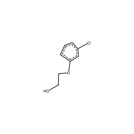 O[CH]COc1cccc(Cl)c1